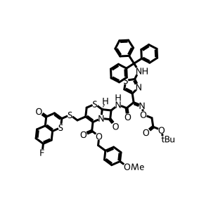 COc1ccc(COC(=O)C2=C(CSc3cc(=O)c4ccc(F)cc4s3)CS[C@H]3C(NC(=O)/C(=N\OCC(=O)OC(C)(C)C)c4csc(NC(c5ccccc5)(c5ccccc5)c5ccccc5)n4)C(=O)N23)cc1